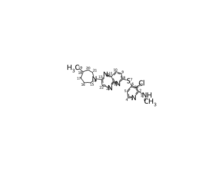 CNc1nccc(Sc2ccc3nc(N4CCCC(C)CC4)cnc3n2)c1Cl